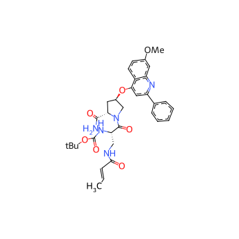 C/C=C/C(=O)NC[C@H](NC(=O)OC(C)(C)C)C(=O)N1C[C@H](Oc2cc(-c3ccccc3)nc3cc(OC)ccc23)C[C@H]1C(N)=O